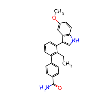 CCc1c(-c2ccc(C(N)=O)cc2)cccc1-c1c[nH]c2ccc(OC)cc12